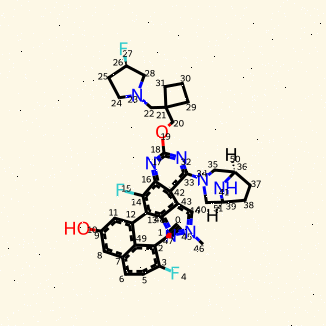 C#Cc1c(F)ccc2cc(O)cc(-c3c(F)c4nc(OCC5(CN6CC[C@@H](F)C6)CCC5)nc(N5C[C@H]6CC[C@@H](C5)N6)c4c4cn(C)nc34)c12